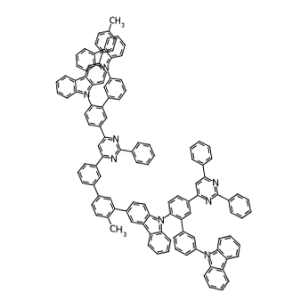 Cc1ccc(-c2ccc3c(c2)c2ccccc2n3-c2ccc(-c3cc(-c4cccc(-c5ccc(C)c(-c6ccc7c(c6)c6ccccc6n7-c6ccc(-c7cc(-c8ccccc8)nc(-c8ccccc8)n7)cc6-c6cccc(-n7c8ccccc8c8ccccc87)c6)c5)c4)nc(-c4ccccc4)n3)cc2-c2cccc(-n3c4ccccc4c4ccccc43)c2)cc1